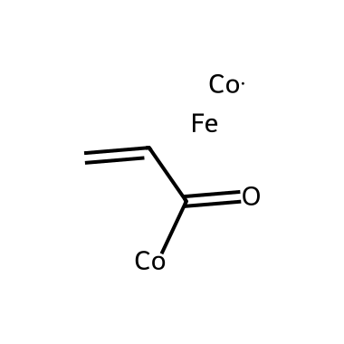 C=C[C](=O)[Co].[Co].[Fe]